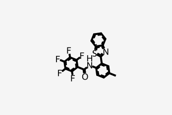 Cc1ccc(NC(=O)c2c(F)c(F)c(F)c(F)c2F)c(-c2nc3ccccc3s2)c1